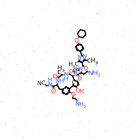 Cc1nc(-c2ccc(OC3CCCCC3)cc2)nc(C)c1C(=O)NC(CCN)C(=O)N(C)C1C(=O)NC(C)C(=O)NC(C(=O)NCC#N)Cc2ccc(OCCN)c(c2)-c2cc1ccc2O